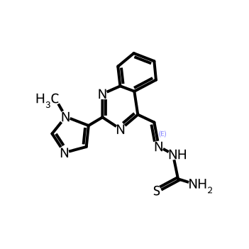 Cn1cncc1-c1nc(/C=N/NC(N)=S)c2ccccc2n1